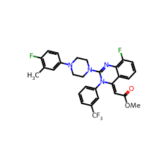 COC(=O)/C=C1\c2cccc(F)c2N=C(N2CCN(c3ccc(F)c(C)c3)CC2)N1c1cccc(C(F)(F)F)c1